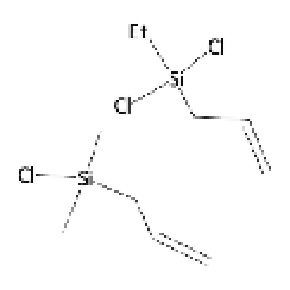 C=CC[Si](C)(C)Cl.C=CC[Si](Cl)(Cl)CC